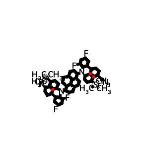 [C-]#[N+]c1ccc(-c2cc(F)cc(F)c2N(c2ccc([Si](C)(C)C)cc2)c2ccc3ccc4c(N(c5ccc([Si](C)(C)C)cc5)c5c(F)cc(F)cc5-c5ccc(C#N)cc5)ccc5ccc2c3c54)cc1